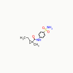 CCC1CC1(C)C(=O)Nc1ccc(S(N)(=O)=O)cc1